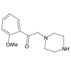 COc1ccccc1C(=O)CN1CCNCC1